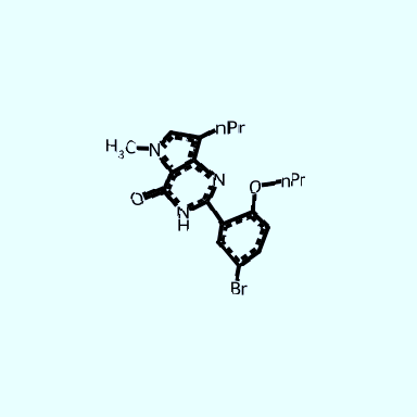 CCCOc1ccc(Br)cc1-c1nc2c(CCC)cn(C)c2c(=O)[nH]1